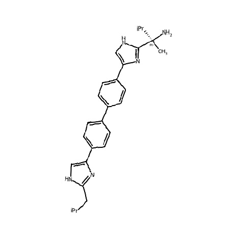 CC(C)Cc1nc(-c2ccc(-c3ccc(-c4c[nH]c([C@](C)(N)C(C)C)n4)cc3)cc2)c[nH]1